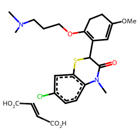 COC1=CC(C2Sc3cc(Cl)ccc3N(C)C2=O)=C(OCCCN(C)C)CC1.O=C(O)/C=C/C(=O)O